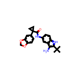 CC(C)(C)c1[nH]c2ccc(NC(=O)C3(c4ccc5c(c4)OCO5)CC3)cc2c1N